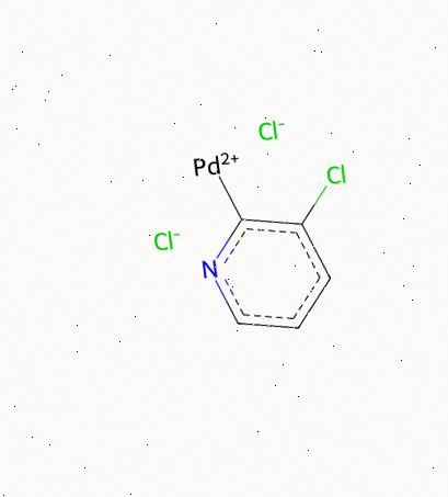 Clc1cccn[c]1[Pd+2].[Cl-].[Cl-]